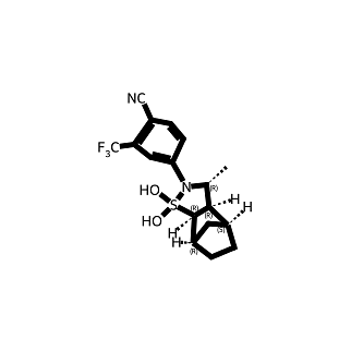 C[C@@H]1[C@H]2[C@H]3CC[C@H](C3)[C@H]2S(O)(O)N1c1ccc(C#N)c(C(F)(F)F)c1